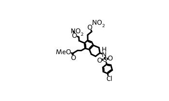 COC(=O)CCc1c(CCO[N+](=O)[O-])c(CCO[N+](=O)[O-])cc2c1CCC(NS(=O)(=O)c1ccc(Cl)cc1)C2